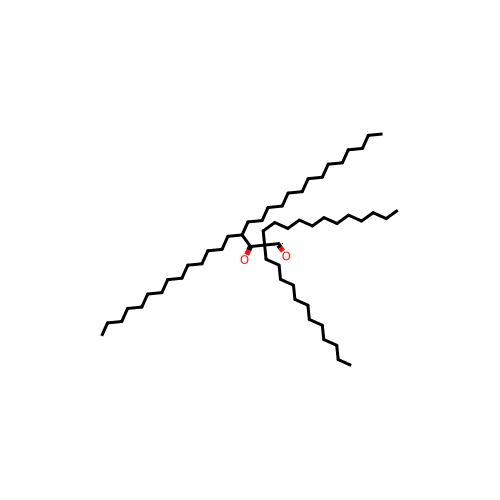 CCCCCCCCCCCCCCC(CCCCCCCCCCCCCC)C(=O)C([C]=O)(CCCCCCCCCCCC)CCCCCCCCCCCC